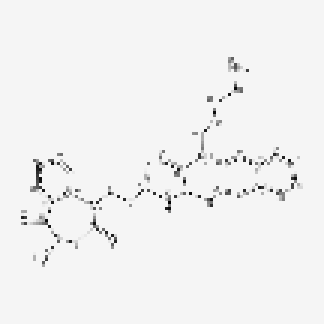 CN1CC(=O)N(CCC(=O)NC(Cc2ccc3ccccc3c2)C(=O)NCCCCN)c2ccccc2C1=O